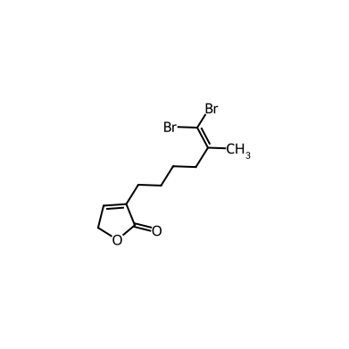 CC(CCCCC1=CCOC1=O)=C(Br)Br